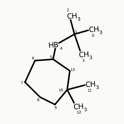 CC(C)(C)BC1CCCCC(C)(C)C1